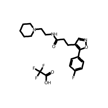 O=C(CCc1cnoc1-c1ccc(F)cc1)NCCN1CCCCC1.O=C(O)C(F)(F)F